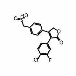 O=C1OCC(c2ccc(C[SH](=O)=O)cc2)=C1c1ccc(Cl)c(F)c1